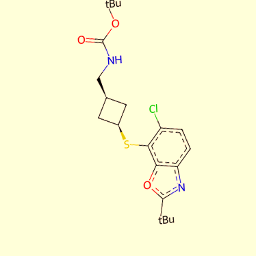 CC(C)(C)OC(=O)NC[C@H]1C[C@@H](Sc2c(Cl)ccc3nc(C(C)(C)C)oc23)C1